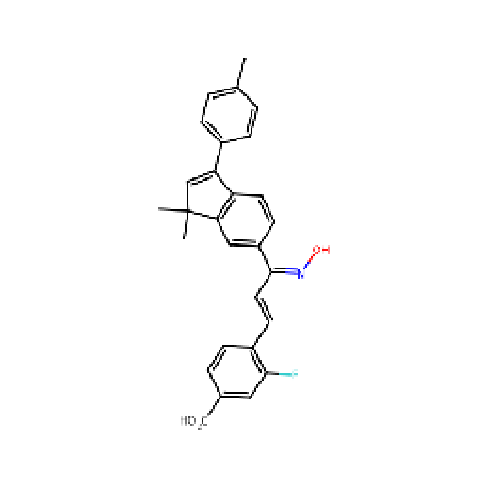 Cc1ccc(C2=CC(C)(C)c3cc(C(/C=C/c4ccc(C(=O)O)cc4F)=N\O)ccc32)cc1